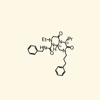 CCN1CC(=O)N2[C@@H](C(C)C)C(=O)N(CCCc3ccccc3)C[C@@H]2N1C(=O)NCc1ccccc1